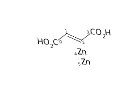 O=C(O)C=CC(=O)O.[Zn].[Zn]